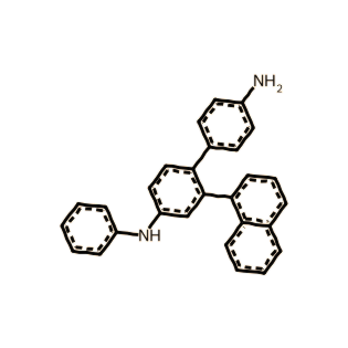 Nc1ccc(-c2ccc(Nc3ccccc3)cc2-c2cccc3ccccc23)cc1